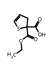 CCOC(=O)C1(C(=O)O)CC=CS1